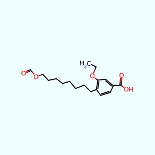 CCOc1cc(C(=O)O)ccc1CCCCCCCCOC=O